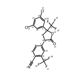 N#Cc1ccc(N2CC(c3cc(Cl)cc(Cl)c3)(C(F)(F)F)OC2=O)cc1C(F)(F)F